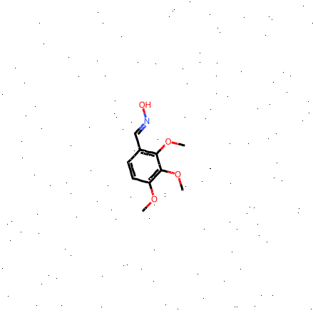 COc1ccc(C=NO)c(OC)c1OC